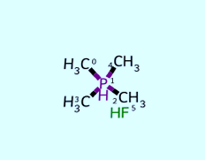 C[PH](C)(C)C.F